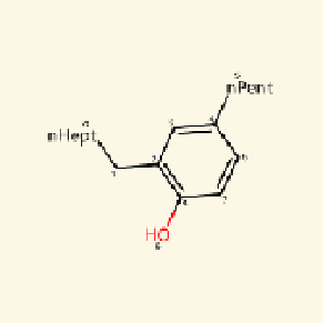 CCCCCCCCc1cc(CCCCC)ccc1O